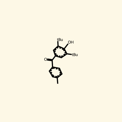 Cc1ccc(C(=O)c2cc(C(C)(C)C)c(O)c(C(C)(C)C)c2)cc1